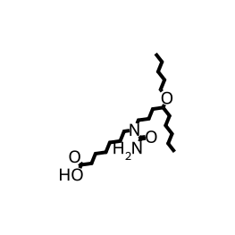 CCCCCOC(CCCCC)CCCN(CCCCCCC(=O)O)C(N)=O